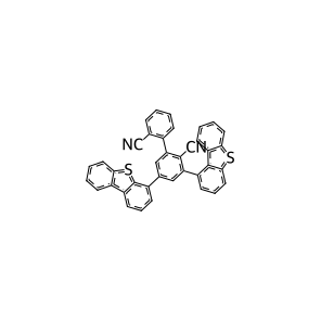 N#Cc1ccccc1-c1cc(-c2cccc3c2sc2ccccc23)cc(-c2cccc3sc4ccccc4c23)c1C#N